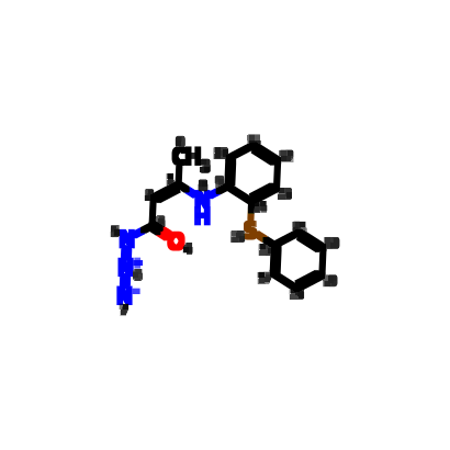 C/C(=C/C(=O)N=[N+]=[N-])Nc1ccccc1Sc1ccccc1